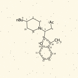 CCCCC1CCN(C(CC(C)=O)c2oc3ccccc3c2C)CC1